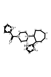 O=C(c1ccco1)N1CCN(C2CCCCCC2c2ncc[nH]2)CC1